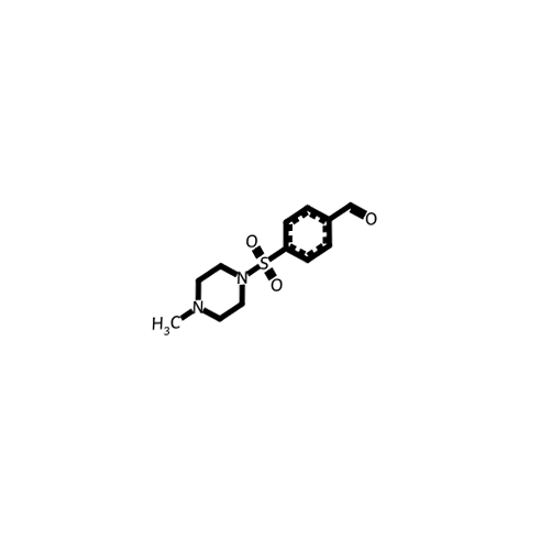 CN1CCN(S(=O)(=O)c2ccc(C=O)cc2)CC1